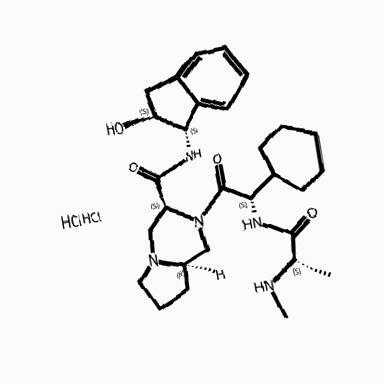 CN[C@@H](C)C(=O)N[C@H](C(=O)N1C[C@H]2CCCN2C[C@H]1C(=O)N[C@H]1c2ccccc2C[C@@H]1O)C1CCCCC1.Cl.Cl